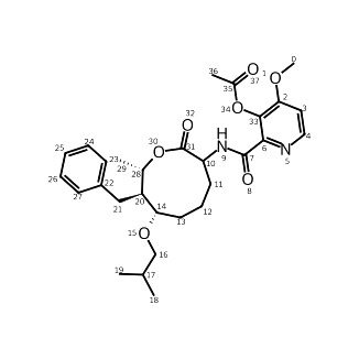 COc1ccnc(C(=O)NC2CCC[C@H](OCC(C)C)[C@@H](Cc3ccccc3)[C@H](C)OC2=O)c1OC(C)=O